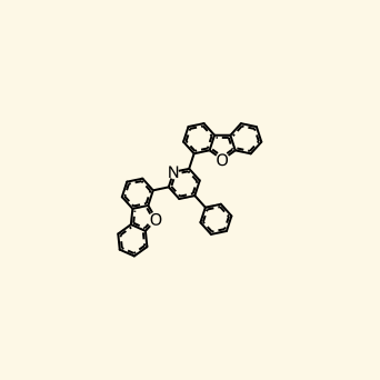 c1ccc(-c2cc(-c3cccc4c3oc3ccccc34)nc(-c3cccc4c3oc3ccccc34)c2)cc1